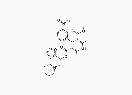 COC(=O)C1=C(C)NC(C)=C(C(=O)OC(CN2CCCCC2)c2ncco2)C1c1cccc([N+](=O)[O-])c1